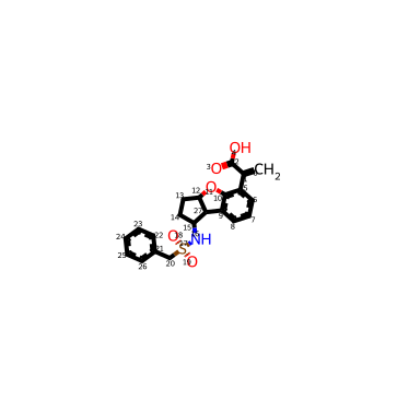 C=C(C(=O)O)c1cccc2c1OC1CCC(NS(=O)(=O)Cc3ccccc3)C21